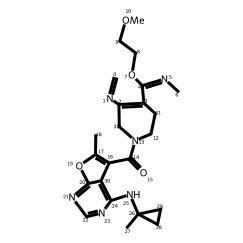 C=NC1=C(/C(=N\C)OCCOC)CCN(C(=O)c2c(C)oc3ncnc(NC4(C)CC4)c23)C1